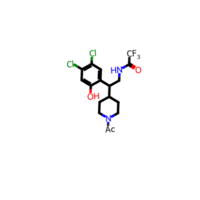 CC(=O)N1CCC(C(CNC(=O)C(F)(F)F)c2cc(Cl)c(Cl)cc2O)CC1